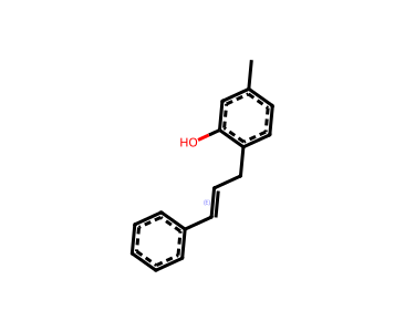 Cc1ccc(C/C=C/c2ccccc2)c(O)c1